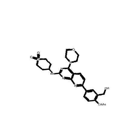 COc1ccc(-c2ccc3c(N4CCOCC4)nc(NC4CCS(=O)(=O)CC4)nc3n2)cc1CO